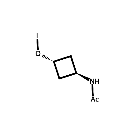 CC(=O)N[C@H]1C[C@H](OI)C1